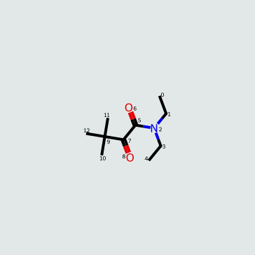 CCN(CC)C(=O)C(=O)C(C)(C)C